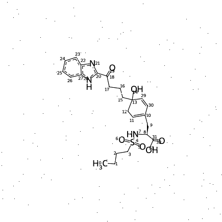 CCCCS(=O)(=O)N[C@@H](CC1=CCC(O)(CCCC(=O)c2nc3ccccc3[nH]2)C=C1)C(=O)O